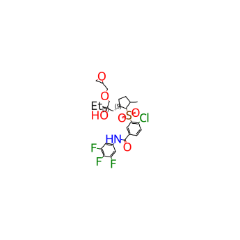 CC[C@@](O)(COCC1CO1)C[C@@H]1CCC(C)C1S(=O)(=O)c1cc(C(=O)Nc2cc(F)c(F)c(F)c2)ccc1Cl